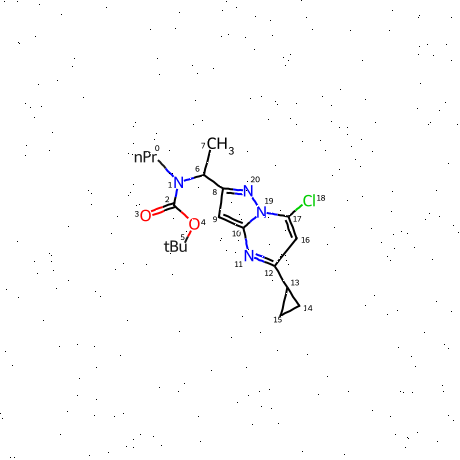 CCCN(C(=O)OC(C)(C)C)C(C)c1cc2nc(C3CC3)cc(Cl)n2n1